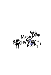 CC/C(C)=C/c1c(/C=C(\C)N(C)CCOCCOCCNc2cccc(C(C)=O)c2C(=O)C(C)CC)c(-c2cc(OC)c(CN(C)C)c(OC)c2)cn(C)c1=O